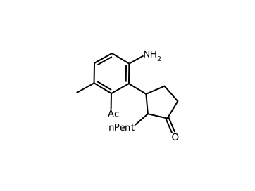 CCCCCC1C(=O)CCC1c1c(N)ccc(C)c1C(C)=O